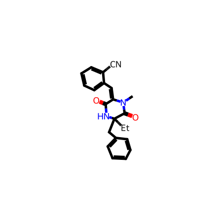 CCC1(Cc2ccccc2)NC(=O)/C(=C\c2ccccc2C#N)N(C)C1=O